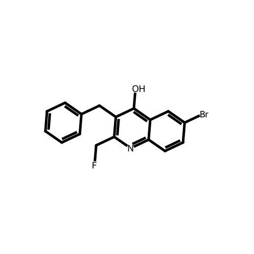 Oc1c(Cc2ccccc2)c(CF)nc2ccc(Br)cc12